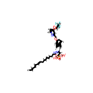 CCCCCCCCCCCCCCCC(=O)N[C@H](C=CP(=O)(O)O)Cc1ccc(OCc2cc(OCC(F)(F)F)ccn2)cc1